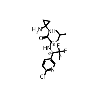 CC(C)C[C@H](N[C@@H](c1ccc(Cl)nc1)C(F)(F)F)C(=O)NC1(N)CC1